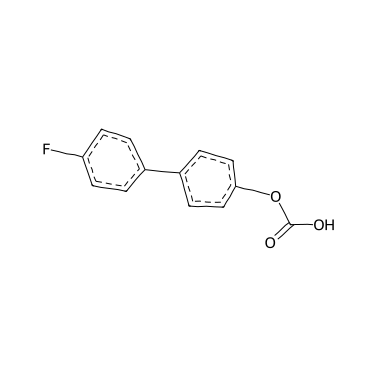 O=C(O)Oc1ccc(-c2ccc(F)cc2)cc1